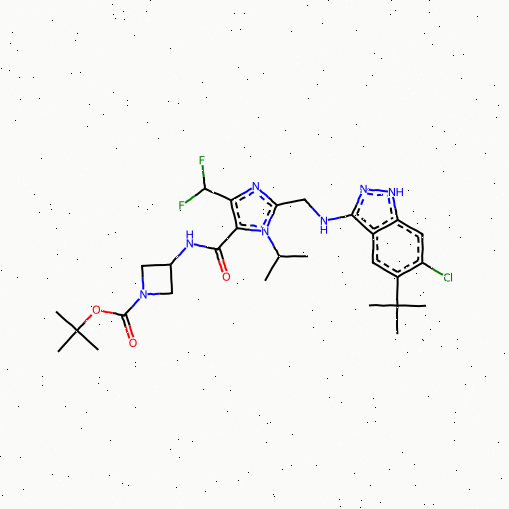 CC(C)n1c(CNc2n[nH]c3cc(Cl)c(C(C)(C)C)cc23)nc(C(F)F)c1C(=O)NC1CN(C(=O)OC(C)(C)C)C1